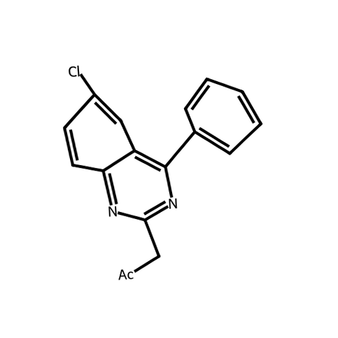 CC(=O)Cc1nc(-c2ccccc2)c2cc(Cl)ccc2n1